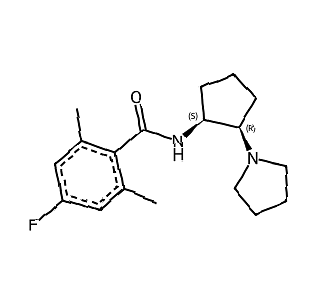 Cc1cc(F)cc(C)c1C(=O)N[C@H]1CCC[C@H]1N1CCCC1